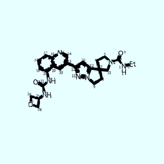 CCNC(=O)N1CCC2(CCn3nc(-c4cnc5cccc(NC(=O)NC6COC6)c5c4)cc32)C1